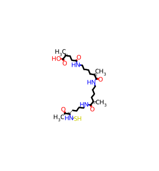 CC(=O)[C@H](CCCCNC(=O)[C@@H](C)CCCCNC(=O)[C@@H](C)CCCCNC(=O)CC[C@H](C)C(=O)O)NS